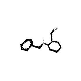 OCC1CCCCC1NCc1ccccc1